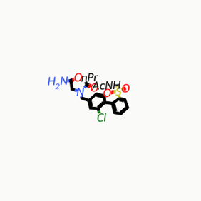 CCCC(=O)N(CC(N)=O)Cc1ccc(-c2ccccc2S(=O)(=O)NC(C)=O)c(Cl)c1